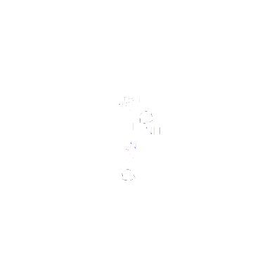 CC(C)(C)[Si](C)(C)OCc1cccc(NC2CCN(C(=O)OCc3ccccc3)CC2)c1F